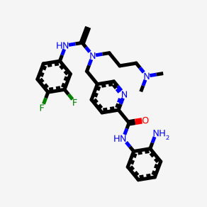 C=C(Nc1ccc(F)c(F)c1)N(CCCN(C)C)Cc1ccc(C(=O)Nc2ccccc2N)nc1